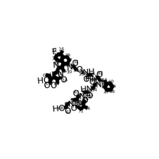 CC[C@@]1(O)C(=O)OCc2c1cc1n(c2=O)Cc2c-1nc1cc(F)c(C)c3c1c2[C@@H](N(C)C(=O)COCNC(=O)CNC(=O)[C@H](Cc1ccccc1)NC(=O)CNC(=O)CNC(=O)C(CNCC(=O)O)N1C(=O)CC(C)C1=O)CC3